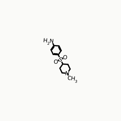 CN1CCC(S(=O)(=O)c2ccc(N)cc2)CC1